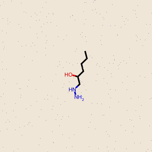 CCCCC(O)CNN